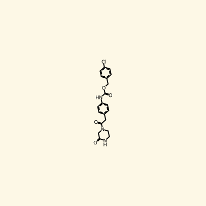 O=C1CN(C(=O)Cc2ccc(NC(=O)OCc3ccc(Cl)cc3)cc2)CCN1